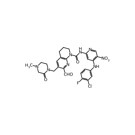 CN1CCN(Cc2cc3c(nc2C=O)N(C(=O)Nc2cc(Nc4ccc(F)c(Cl)c4)c([N+](=O)[O-])cn2)CCC3)C(=O)C1